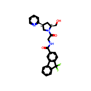 O=C(NCC(=O)N1C[C@@H](c2ccccn2)C[C@H]1CO)c1ccc2c(c1)-c1ccccc1C2(F)F